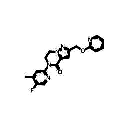 Cc1cc(N2CCn3nc(COc4ccccn4)cc3C2=O)ncc1F